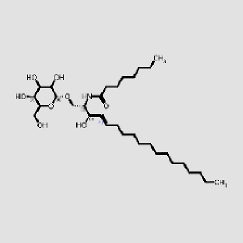 CCCCCCCCCCCCC/C=C/[C@@H](O)[C@H](CO[C@@H]1OC(CO)[C@@H](O)C(O)C1O)NC(=O)CCCCCCC